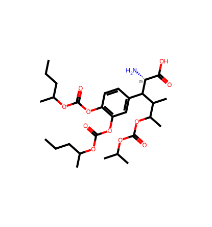 CCCC(C)OC(=O)Oc1ccc(C(C(C)C(C)OC(=O)OC(C)C)[C@H](N)C(=O)O)cc1OC(=O)OC(C)CCC